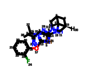 CC(=N)/C=C(\S)N1CC2C[C@@H](C1)[C@@H]2Nc1nc(Oc2ccccc2F)n(C(C)C)n1